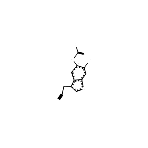 N#CCc1c[nH]c2cc(Cl)c(NC(N)=O)cc12